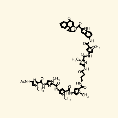 CC(=O)Nc1cn(C)c(C(=O)Nc2cn(C)c(C(=O)Nc3cc(C(=O)Nc4cc(C(=O)NCCCC(=O)Nc5cn(C)c(C(=O)Nc6cc(C(=O)Nc7ccc8[nH]c(C(=O)N9CC%10CC%10%11C9=CC(=O)c9ccccc9%11)cc8c7)n(C)c6)n5)n(C)c4)n(C)c3)n2)n1